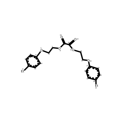 CCc1ccc(OCCOC(=O)C(=O)OCCOc2ccc(CC)cc2)cc1